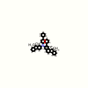 CC1(C)c2ccccc2-c2ccc(N(c3ccc(-c4ccccc4)cc3)c3cc4ccc5c(c4cc3-c3ccccc3)C(C)(C)c3ccccc3-5)cc21